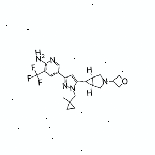 CC1(Cn2nc(-c3cnc(N)c(C(F)(F)F)c3)cc2C2[C@H]3CN(C4COC4)C[C@@H]23)CC1